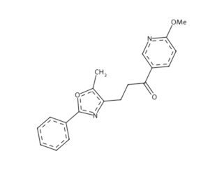 COc1ccc(C(=O)CCc2nc(-c3ccccc3)oc2C)cn1